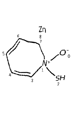 [O-][N+]1(S)C=CC=CC1.[Zn]